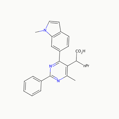 CCCC(C(=O)O)c1c(C)nc(-c2ccccc2)nc1-c1ccc2ccn(C)c2c1